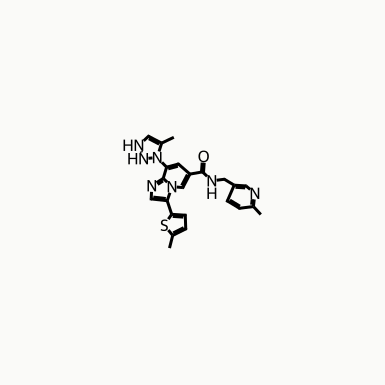 CC1=CNNN1c1cc(C(=O)NCc2ccc(C)nc2)cn2c(-c3ccc(C)s3)cnc12